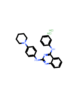 Cl.Cl.c1ccc(Nc2nc(Nc3ccc(N4CCCCC4)cc3)nc3ccccc23)cc1